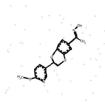 COc1ccc(C2COc3cc(C(C)=NO)ccc3O2)cn1